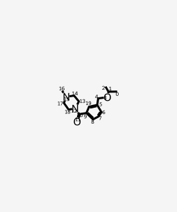 CC(C)OCc1cccc(C(=O)N2CCN(C)CC2)c1